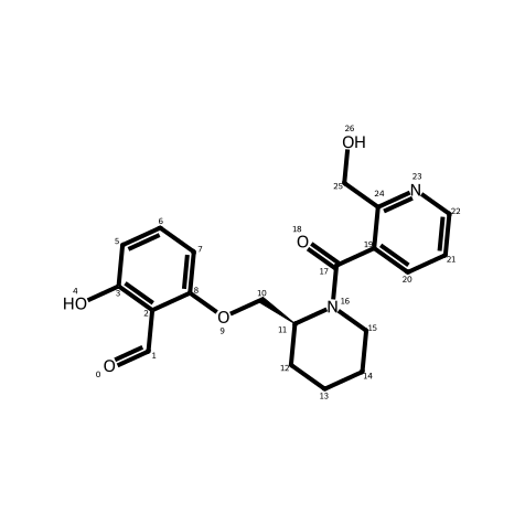 O=Cc1c(O)cccc1OC[C@@H]1CCCCN1C(=O)c1cccnc1CO